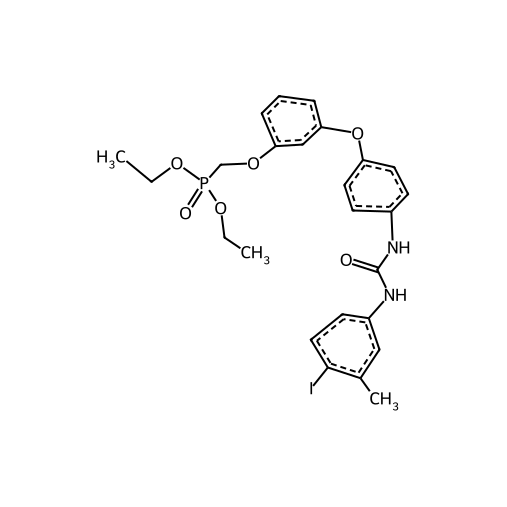 CCOP(=O)(COc1cccc(Oc2ccc(NC(=O)Nc3ccc(I)c(C)c3)cc2)c1)OCC